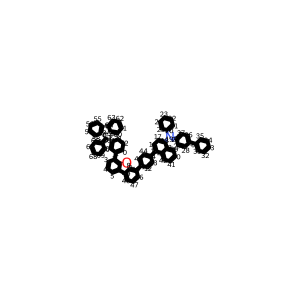 C1=C(c2cccc3c2oc2c(-c4ccc(-c5ccc(N(c6ccccc6)c6ccc(-c7ccccc7)cc6)c6ccccc56)cc4)cccc23)C=C([Si](c2ccccc2)(c2ccccc2)c2ccccc2)CC1